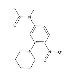 CC(=O)N(C)c1ccc([N+](=O)[O-])c(N2CCCCC2)c1